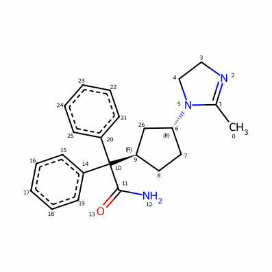 CC1=NCCN1[C@@H]1CC[C@@H](C(C(N)=O)(c2ccccc2)c2ccccc2)C1